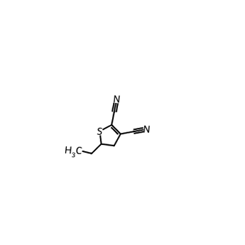 CCC1CC(C#N)=C(C#N)S1